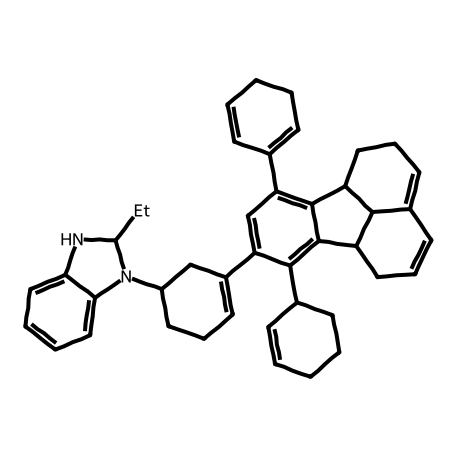 CCC1Nc2ccccc2N1C1CCC=C(c2cc(C3=CCCC=C3)c3c(c2C2C=CCCC2)C2CC=CC4=CCCC3C42)C1